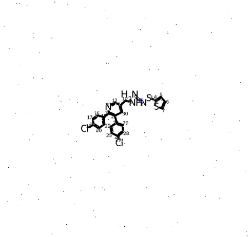 N/C(=N\Sc1cccs1)NCc1cnc(-c2ccc(Cl)cc2)c(-c2ccc(Cl)cc2)c1